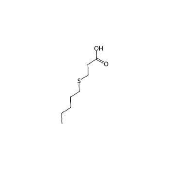 CCCCCSCCC(=O)O